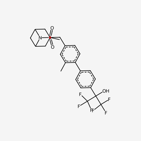 Cc1cc(CC2CC3CC(C2)N3S(C)(=O)=O)ccc1-c1ccc(C(O)(C(F)(F)F)C(F)(F)F)cc1